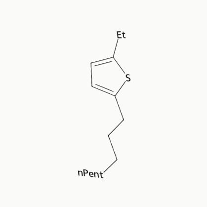 [CH2]Cc1ccc(CCCCCCCC)s1